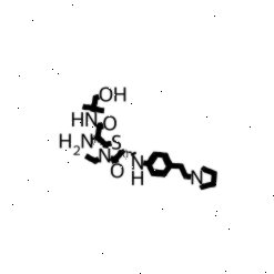 CCN1C(=O)[C@@H](CNc2ccc(CCN3CCCC3)cc2)SC1[C@H](N)C(=O)NC(C)(C)CO